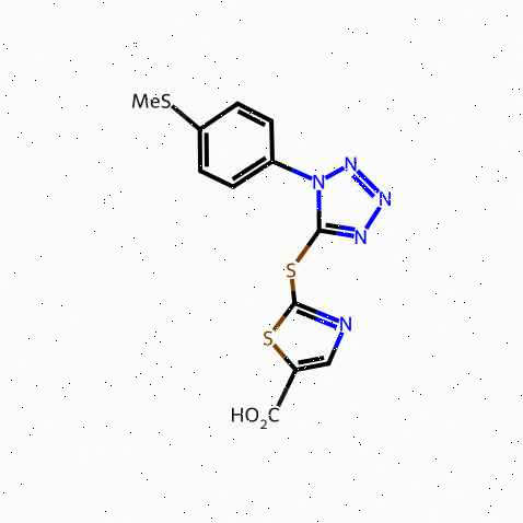 CSc1ccc(-n2nnnc2Sc2ncc(C(=O)O)s2)cc1